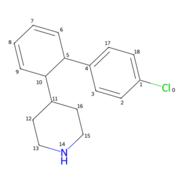 Clc1ccc(C2C=CC=CC2C2CCNCC2)cc1